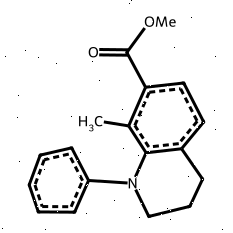 COC(=O)c1ccc2c(c1C)N(c1ccccc1)CCC2